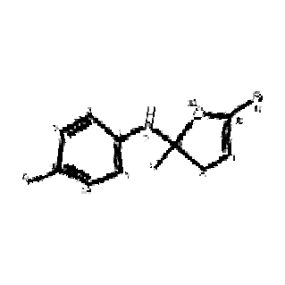 Cc1ccc(NC2(C)CC=C(Br)O2)cc1